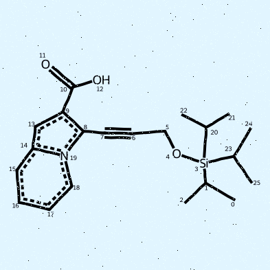 CC(C)[Si](OCC#Cc1c(C(=O)O)cc2ccccn12)(C(C)C)C(C)C